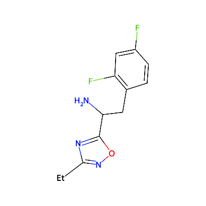 CCc1noc(C(N)Cc2ccc(F)cc2F)n1